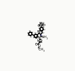 CCOC(=O)c1csc(N/C(N)=C(/Cc2ccc(S(N)(=O)=O)cc2)C(=N)c2cccc(-c3ccccc3)c2)n1